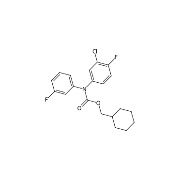 O=C(OCC1CCCCC1)N(c1cccc(F)c1)c1ccc(F)c(Cl)c1